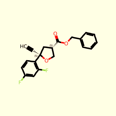 C#C[C@]1(c2ccc(F)cc2F)C[C@H](C(=O)OCc2ccccc2)CO1